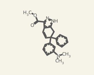 COC(=O)c1n[nH]c2c1C=CC(c1ccccc1)(c1cccc(N(C)C)c1)C2